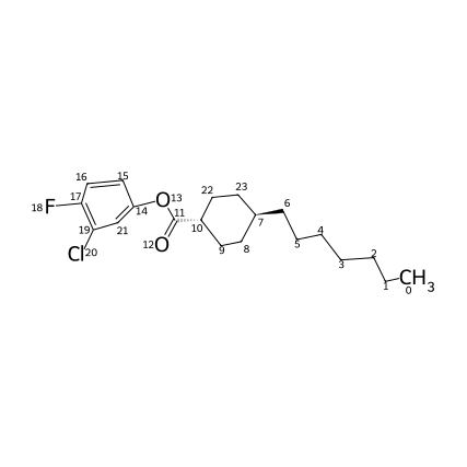 CCCCCCC[C@H]1CC[C@H](C(=O)Oc2ccc(F)c(Cl)c2)CC1